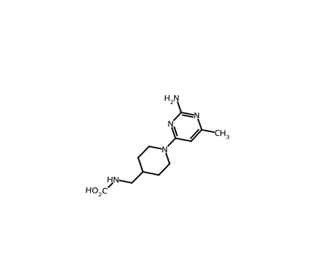 Cc1cc(N2CCC(CNC(=O)O)CC2)nc(N)n1